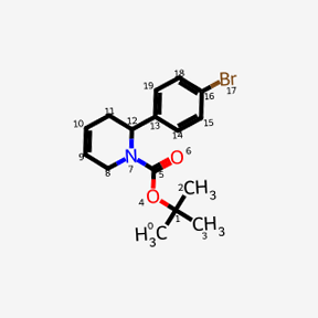 CC(C)(C)OC(=O)N1CC=CCC1c1ccc(Br)cc1